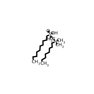 CCCCCCCCCCS(=O)(=O)O.CCCCCCCC[N+](C)(C)C